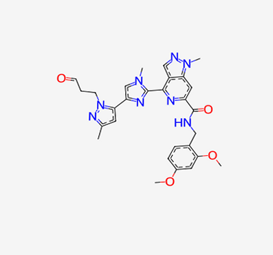 COc1ccc(CNC(=O)c2cc3c(cnn3C)c(-c3nc(-c4cc(C)nn4CCC=O)cn3C)n2)c(OC)c1